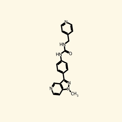 Cn1nc(-c2ccc(NC(=O)NCc3ccncc3)cc2)c2cnccc21